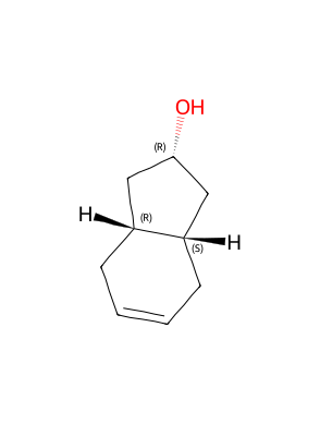 O[C@H]1C[C@H]2CC=CC[C@H]2C1